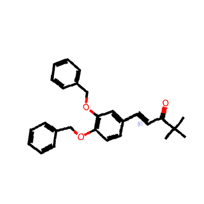 CC(C)(C)C(=O)/C=C/c1ccc(OCc2ccccc2)c(OCc2ccccc2)c1